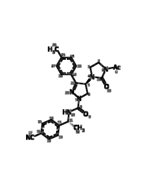 CC(=O)N1CCN([C@H]2CN(C(=O)N[C@H](C)c3ccc(C#N)cc3)N=C2c2ccc(C)cc2)C1=O